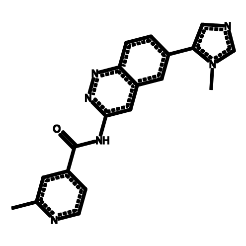 Cc1cc(C(=O)Nc2cc3cc(-c4cncn4C)ccc3nn2)ccn1